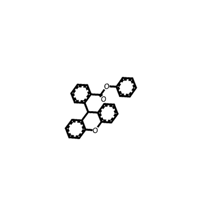 O=C(Oc1ccccc1)c1ccccc1C1c2ccccc2Oc2ccccc21